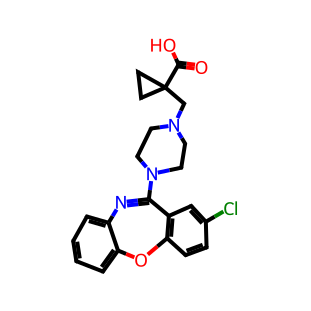 O=C(O)C1(CN2CCN(C3=Nc4ccccc4Oc4ccc(Cl)cc43)CC2)CC1